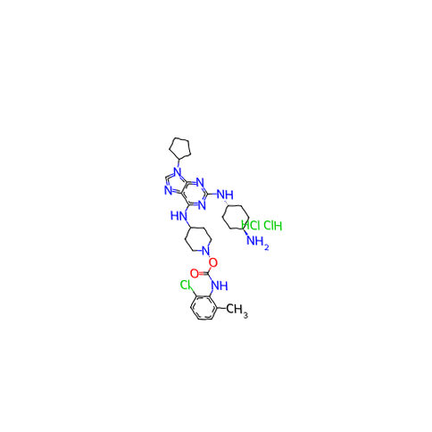 Cc1cccc(Cl)c1NC(=O)ON1CCC(Nc2nc(N[C@H]3CC[C@H](N)CC3)nc3c2ncn3C2CCCC2)CC1.Cl.Cl